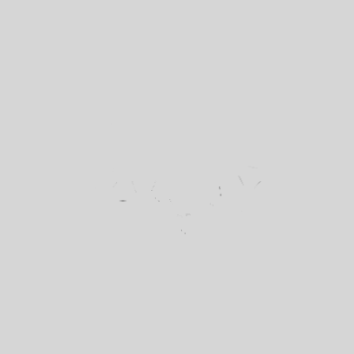 COCCCOc1cc(C(=O)N(C[C@@H]2CNC[C@H]2CNC(=O)C(OC)c2ccccc2)C(C)C)ccc1OC